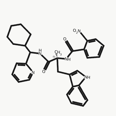 C[C@@](Cc1c[nH]c2ccccc12)(NC(=O)c1ccccc1[N+](=O)[O-])C(=O)NC(c1ccccn1)C1CCCCC1